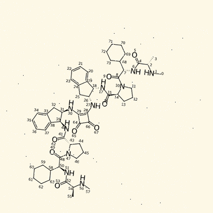 CN[C@@H](C)C(=O)N[C@H](C(=O)N1CCC[C@H]1C(=O)N[C@H]1c2ccccc2C[C@H]1Nc1c(N[C@@H]2Cc3ccccc3[C@@H]2NC(=O)[C@@H]2CCCN2C(=O)[C@@H](NC(=O)[C@H](C)NC)C2CCCCC2)c(=O)c1=O)C1CCCCC1